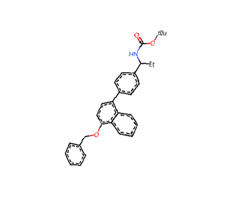 CCC(NC(=O)OC(C)(C)C)c1ccc(-c2ccc(OCc3ccccc3)c3ccccc23)cc1